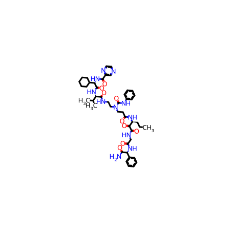 CCC[C@H](NC(=O)CCN(CCNC(=O)[C@@H](NC(=O)[C@@H](NC(=O)c1cnccn1)C1CCCCC1)C(C)C)C(=O)Nc1ccccc1)C(=O)C(=O)NCC(=O)N[C@H](C(N)=O)c1ccccc1